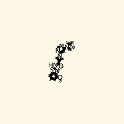 COc1cccc2sc(NC(=O)C3CN(c4cc(-n5ccnc5)ncn4)C3)nc12